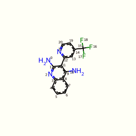 Nc1nc2ccccc2c(N)c1-c1cc(C(F)(F)F)ccn1